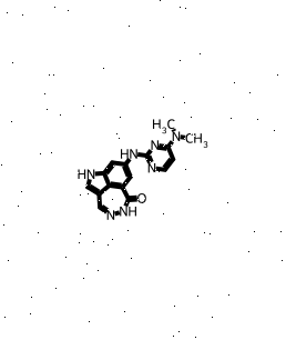 CN(C)c1ccnc(Nc2cc3c4c(c[nH]c4c2)C=NNC3=O)n1